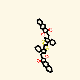 O=C1C(=CC2=Cc3sc4c5c(sc4c3C23CCCCC3)C=C(C=C2C(=O)c3cc4ccccc4cc3C2=O)C52CCCCC2)C(=O)c2cc3ccccc3cc21